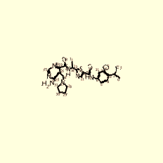 CC(F)c1ccc(NC(=O)c2cnc(C(C)NC(=O)c3ncnc(N)c3CN3CCCC3)s2)cc1Cl